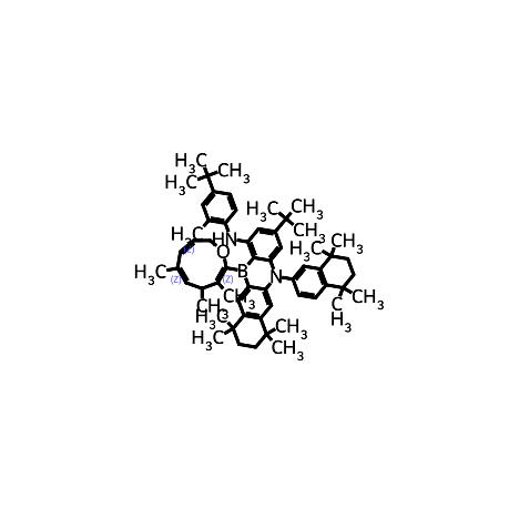 CC1=C/C(C)/C(C)=C(/B2c3cc4c(cc3N(c3ccc5c(c3)C(C)(C)CCC5(C)C)c3cc(C(C)(C)C)cc(Nc5ccc(C(C)(C)C)cc5C)c32)C(C)(C)CCC4(C)C)OC/C=C\1